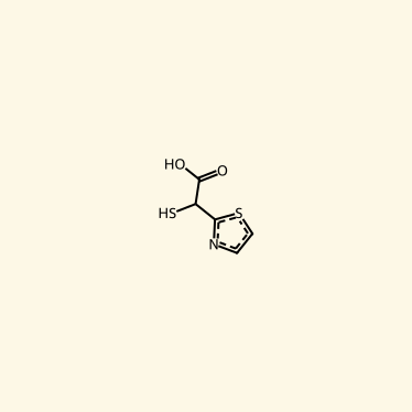 O=C(O)C(S)c1nccs1